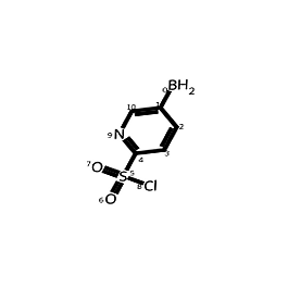 Bc1ccc(S(=O)(=O)Cl)nc1